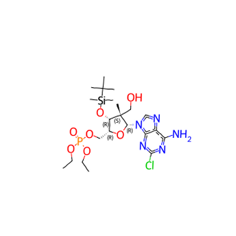 CCOP(=O)(OCC)OC[C@H]1O[C@@H](n2cnc3c(N)nc(Cl)nc32)[C@@](C)(CO)[C@H]1O[Si](C)(C)C(C)(C)C